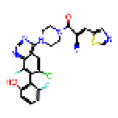 N#C/C(=C\c1cncs1)C(=O)N1CCN(c2ncnc3c(F)c(-c4c(O)cccc4F)c(Cl)cc23)CC1